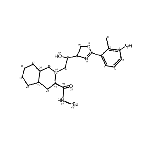 Cc1c(O)cccc1C1=NC(C(O)CN2CC3CCCCC3CC2C(=O)NC(C)(C)C)CO1